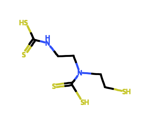 S=C(S)NCCN(CCS)C(=S)S